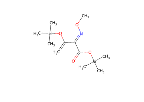 C=C(O[Si](C)(C)C)/C(=N\OC)C(=O)O[Si](C)(C)C